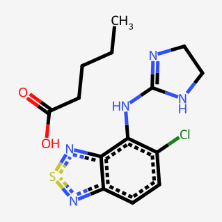 CCCCC(=O)O.Clc1ccc2nsnc2c1NC1=NCCN1